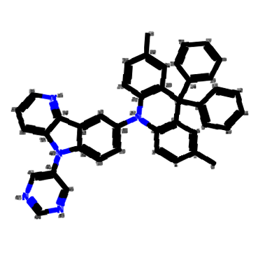 Cc1ccc2c(c1)C(c1ccccc1)(c1ccccc1)c1cc(C)ccc1N2c1ccc2c(c1)c1ncccc1n2-c1cncnc1